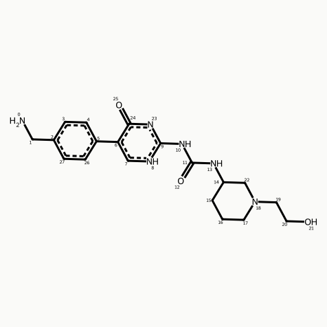 NCc1ccc(-c2c[nH]c(NC(=O)NC3CCCN(CCO)C3)nc2=O)cc1